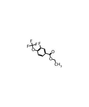 CCOC(=O)c1ccc(OC(F)(F)F)c(F)c1